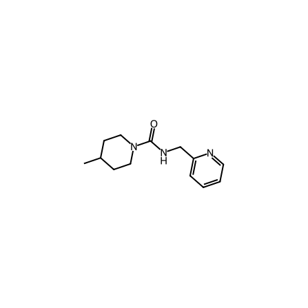 CC1CCN(C(=O)NCc2ccccn2)CC1